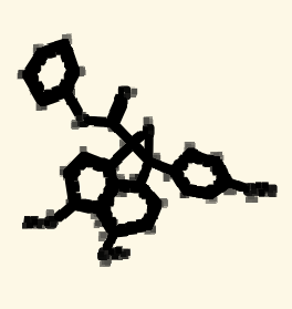 COc1ccc(C2(C(=O)Oc3ccccc3)OC2(c2ccc(OC)cc2)c2ccc(OC)cc2)cc1